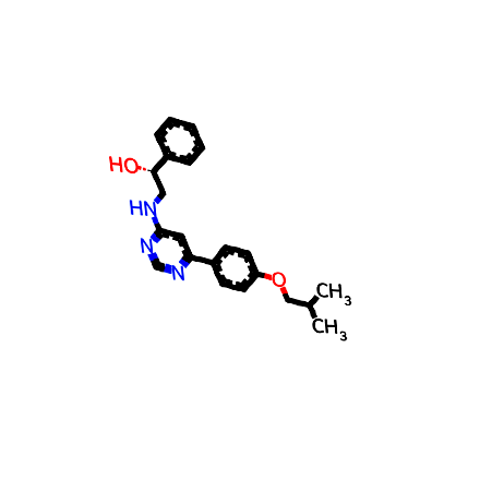 CC(C)COc1ccc(-c2cc(NC[C@H](O)c3ccccc3)ncn2)cc1